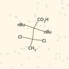 CCCCC(CCCC)(C(=O)O)C(C)(Cl)Cl